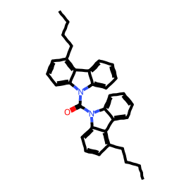 CCCCc1cccc2c1c1ccccc1n2C(=O)n1c2ccccc2c2c(CCCC)cccc21